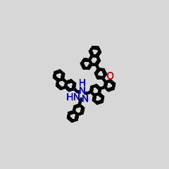 c1ccc2cc(C3=NC(c4ccc(-c5cccc6oc7cc(-c8cc9ccccc9c9ccccc89)ccc7c56)c5ccccc45)NC(c4ccc5c(ccc6ccccc65)c4)N3)ccc2c1